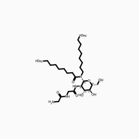 CCCCCCCCCCCCCCCCCCN(C(=O)CCCCCCCCCCCCCCCCC)[C@@H]1O[C@H](CO)[C@@H](O)[C@H](O)[C@H]1NC(=O)CNC(=O)CN